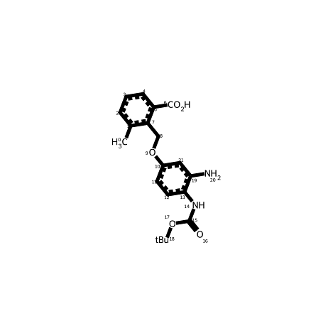 Cc1cccc(C(=O)O)c1COc1ccc(NC(=O)OC(C)(C)C)c(N)c1